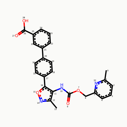 Cc1cccc(COC(=O)Nc2c(C)noc2-c2ccc(-c3cccc(C(=O)O)c3)cc2)n1